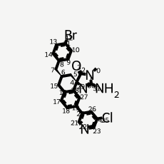 CN1C(=O)[C@]2(C[C@H](Cc3ccc(Br)cc3)Cc3ccc(-c4cncc(Cl)c4)cc32)N=C1N